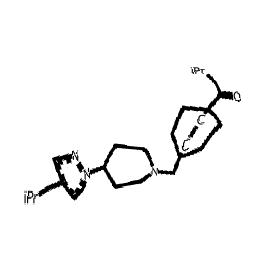 CC(C)C(=O)C12CCC(CN3CCC(n4cc(C(C)C)cn4)CC3)(CC1)CC2